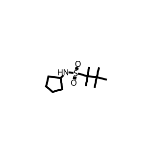 CC(C)(C)C(C)(C)S(=O)(=O)NC1CCCC1